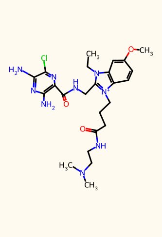 CCn1c(CNC(=O)c2nc(Cl)c(N)nc2N)[n+](CCCC(=O)NCCN(C)C)c2ccc(OC)cc21